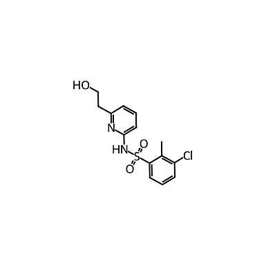 Cc1c(Cl)cccc1S(=O)(=O)Nc1cccc(CCO)n1